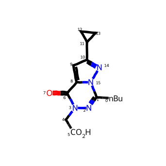 CCCCc1nn(CC(=O)O)c(=O)c2cc(C3CC3)nn12